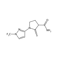 NC(=O)C1CCN(c2ccn(C(F)(F)F)n2)C1=S